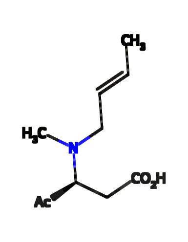 CC=CCN(C)[C@@H](CC(=O)O)C(C)=O